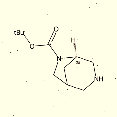 CC(C)(C)OC(=O)N1CC2CNC[C@H]1C2